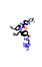 CC(C)(C)CC[C@H](c1ccc(C(=O)NCC2=NNNN2)cc1)N1C(=O)C(c2ccc(C(F)(F)F)nc2)=NC12CCC(C(C)(C)C)CC2